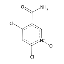 NC(=O)c1c[n+]([O-])c(Cl)cc1Cl